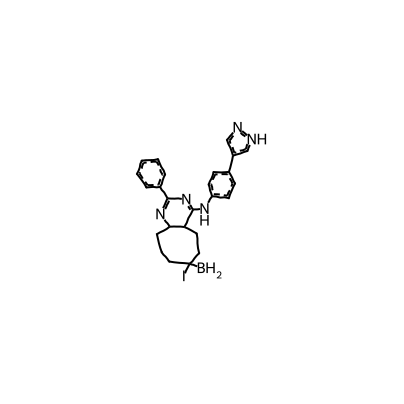 BC1(I)CCCC2N=C(c3ccccc3)N=C(Nc3ccc(-c4cn[nH]c4)cc3)C2CC1